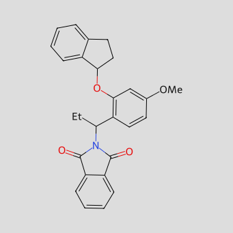 CCC(c1ccc(OC)cc1OC1CCc2ccccc21)N1C(=O)c2ccccc2C1=O